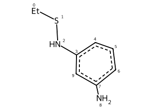 CCSNc1cccc(N)c1